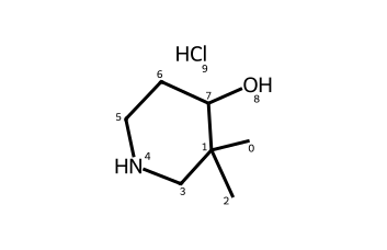 CC1(C)CNCCC1O.Cl